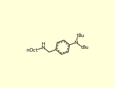 CCCCCCCCNCc1ccc(N(C(C)(C)C)C(C)(C)C)cc1